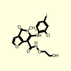 Cn1c(Nc2ccc(I)cc2Cl)c(C(=O)NOCCO)c2occc2c1=O